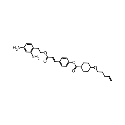 C=CCCCOC1CCC(C(=O)Oc2ccc(/C=C/C(=O)OCCc3ccc(N)cc3N)cc2)CC1